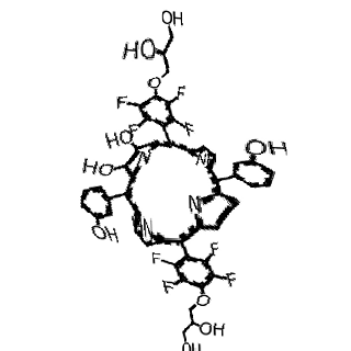 OCC(O)COc1c(F)c(F)c(-c2c3nc(c(-c4cccc(O)c4)c4ccc([nH]4)c(-c4c(F)c(F)c(OCC(O)CO)c(F)c4F)c4nc(c(-c5cccc(O)c5)c5ccc2[nH]5)C(O)=C4O)C=C3)c(F)c1F